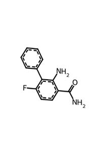 NC(=O)c1ccc(F)c(-c2ccccc2)c1N